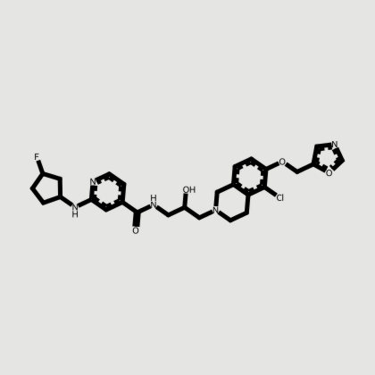 O=C(NCC(O)CN1CCc2c(ccc(OCc3cnco3)c2Cl)C1)c1ccnc(NC2CCC(F)C2)c1